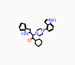 O=C(C1CCCCC1)C(C1Cc2ccccc2N1)N1CCN(c2cccc3[nH]ccc23)CC1